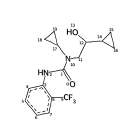 O=C(Nc1ccccc1C(F)(F)F)N(CC(O)C1CC1)C1CC1